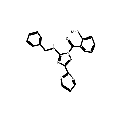 COc1ccccc1C(=O)n1nc(-c2ncccn2)nc1NCc1ccccc1